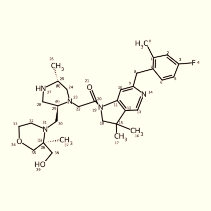 Cc1cc(F)ccc1Cc1cc2c(cn1)C(C)(C)CN2C(=O)CN1C[C@@H](C)NC[C@@H]1CN1CCOC[C@]1(C)CO